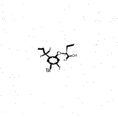 CC[C@H](Oc1cc(F)c(Br)cc1C(F)(F)CC)C(=O)O